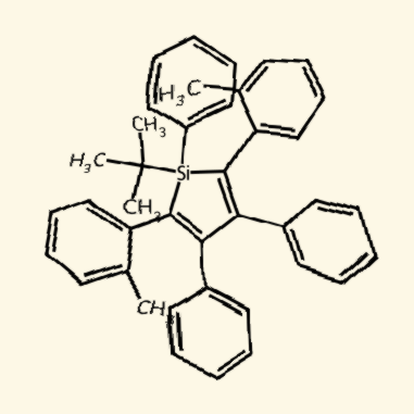 Cc1ccccc1C1=C(c2ccccc2)C(c2ccccc2)=C(c2ccccc2C)[Si]1(c1ccccc1)C(C)(C)C